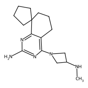 CNC1CN(c2nc(N)nc3c2CCCC32CCCC2)C1